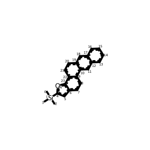 C[Si](C)(C)c1cc2ccc3c4cc5ccccc5cc4ccc3c2o1